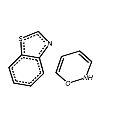 C1=CNOC=C1.c1ccc2scnc2c1